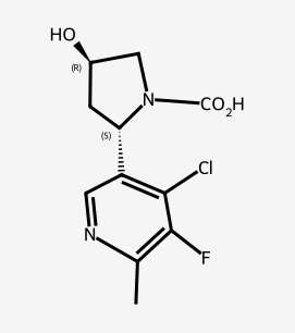 Cc1ncc([C@@H]2C[C@@H](O)CN2C(=O)O)c(Cl)c1F